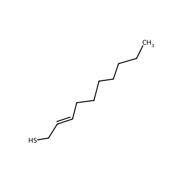 CCCCCCC/C=C/CS